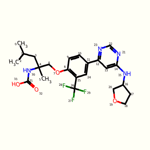 CC(C)CC(C)(COc1ccc(-c2cc(NC3CCOC3)ncn2)cc1C(F)(F)F)NC(=O)O